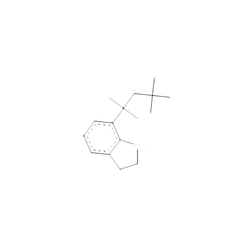 CC(C)(C)CC(C)(C)c1cc[c]c2c1OCC2